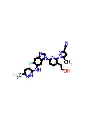 Cc1ccc(Nc2cc3c(cc2F)ncn3-c2ccc(CCO)c(-n3nc(C#N)cc3C)n2)nn1